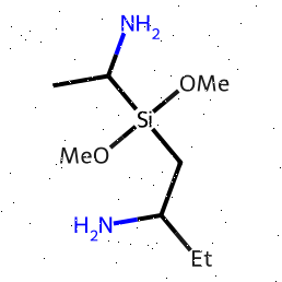 CCC(N)C[Si](OC)(OC)C(C)N